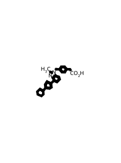 Cc1nc2c(-c3ccc(C4=CCCCC4)cc3)cccc2n1Cc1ccc(CC(=O)O)cc1